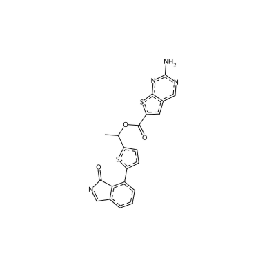 CC(OC(=O)c1cc2cnc(N)nc2s1)c1ccc(-c2cccc3c2C(=O)N=C3)s1